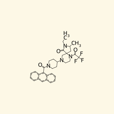 CCN1C(=O)C2(CC1C)CN(C1CCN(C(=O)c3c4ccccc4cc4ccccc34)CC1)CCN2C(=O)C(F)(F)F